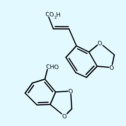 O=C(O)C=Cc1cccc2c1OCO2.O=Cc1cccc2c1OCO2